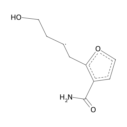 NC(=O)c1ccoc1C[CH]CCO